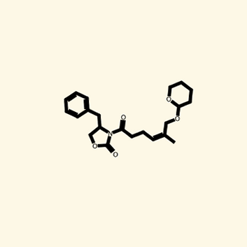 C/C(=C/CCC(=O)N1C(=O)OCC1Cc1ccccc1)COC1CCCCO1